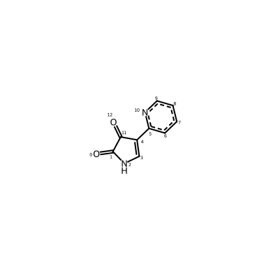 O=C1NC=C(c2ccccn2)C1=O